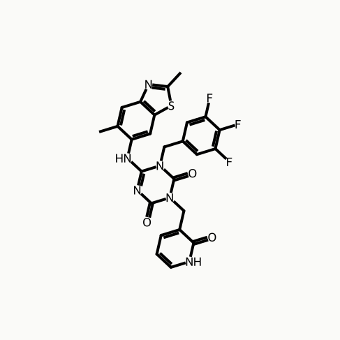 Cc1nc2cc(C)c(Nc3nc(=O)n(Cc4ccc[nH]c4=O)c(=O)n3Cc3cc(F)c(F)c(F)c3)cc2s1